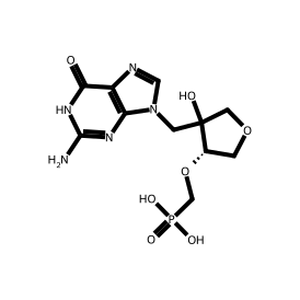 Nc1nc2c(ncn2CC2(O)COC[C@@H]2OCP(=O)(O)O)c(=O)[nH]1